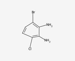 Nc1c(Cl)ccc(Br)c1N